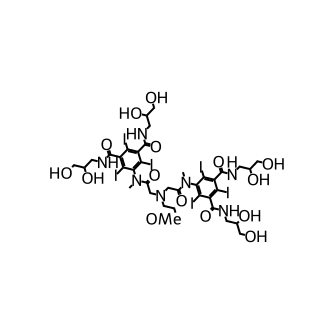 COCCN(CC(=O)N(C)c1c(I)c(C(=O)NCC(O)CO)c(I)c(C(=O)NCC(O)CO)c1I)CC(=O)N(C)c1c(I)c(C(=O)NCC(O)CO)c(I)c(C(=O)NCC(O)CO)c1I